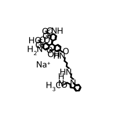 CNOCc1cc2ccccc2n1CCCNCCCCCNC(=O)c1ccc(-c2c3ccc(=N)c(S(=O)(=O)[O-])c-3oc3c(S(=O)(=O)O)c(N)ccc23)c(C(=O)O)c1.[Na+]